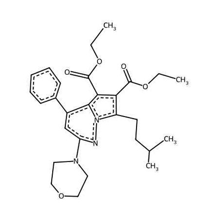 CCOC(=O)c1c(C(=O)OCC)c2c(-c3ccccc3)cc(N3CCOCC3)nn2c1CCC(C)C